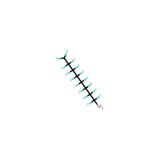 FC(F)C(F)(F)C(F)(F)C(F)(F)C(F)(F)C(F)(F)C(F)(F)C(F)(F)C(F)(F)F